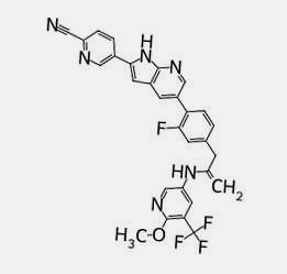 C=C(Cc1ccc(-c2cnc3[nH]c(-c4ccc(C#N)nc4)cc3c2)c(F)c1)Nc1cnc(OC)c(C(F)(F)F)c1